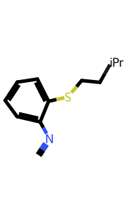 C=Nc1ccccc1SCCC(C)C